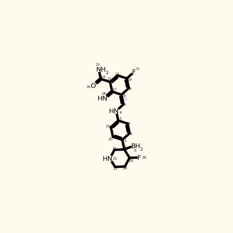 BC1(c2ccc(N/C=C3/C=C(F)C=C(C(N)=O)C3=N)cc2)CNCCC1F